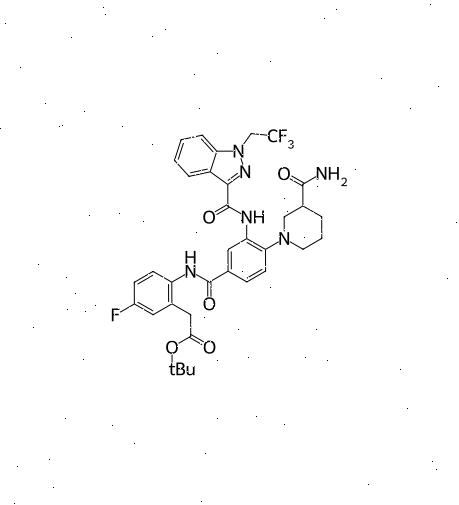 CC(C)(C)OC(=O)Cc1cc(F)ccc1NC(=O)c1ccc(N2CCCC(C(N)=O)C2)c(NC(=O)c2nn(CC(F)(F)F)c3ccccc23)c1